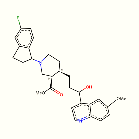 COC(=O)[C@H]1CN(C2CCc3cc(F)ccc32)CC[C@H]1CCC(O)c1ccnc2ccc(OC)cc12